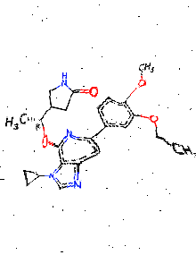 CCOc1cc(-c2cc3ncn(C4CC4)c3c(O[C@H](C)C3CNC(=O)C3)n2)ccc1OC